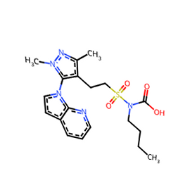 CCCCN(C(=O)O)S(=O)(=O)CCc1c(C)nn(C)c1-n1ccc2cccnc21